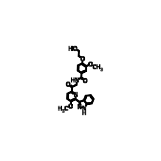 COc1cc(C(=O)NCC(=O)c2ccc(OC)c(-c3n[nH]c4ccccc34)n2)ccc1OCCO